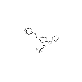 COc1cc(CCc2ccncc2)ccc1OC1CCCC1